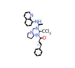 C=C(Nc1cccc2cccnc12)N(CN1CCCC1)C(NC(=O)/C=C/c1ccccc1)C(Cl)(Cl)Cl